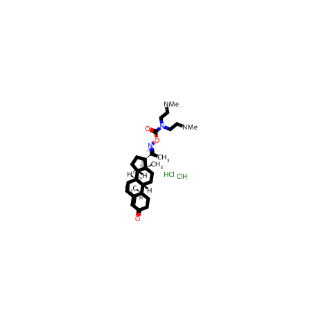 CNCCN(CCNC)C(=O)O/N=C(\C)[C@H]1CC[C@H]2[C@@H]3CCC4=CC(=O)CC[C@]4(C)[C@H]3CC[C@]12C.Cl.Cl